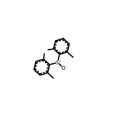 Cc1cccc(C)c1[S+]([O-])c1c(C)cccc1C